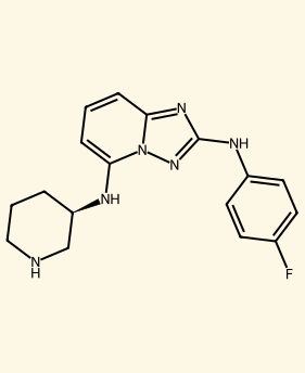 Fc1ccc(Nc2nc3cccc(N[C@@H]4CCCNC4)n3n2)cc1